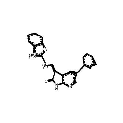 O=C1Nc2ncc(-c3ccccc3)cc2C1=CNc1nc2ccccc2[nH]1